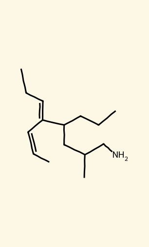 C/C=C\C(=C/CC)C(CCC)CC(C)CN